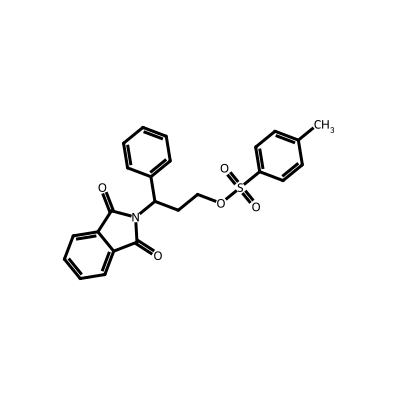 Cc1ccc(S(=O)(=O)OCCC(c2ccccc2)N2C(=O)c3ccccc3C2=O)cc1